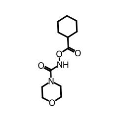 O=C(ONC(=O)N1CCOCC1)C1CCCCC1